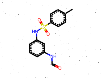 Cc1ccc(S(=O)(=O)Nc2cccc(N[C]=O)c2)cc1